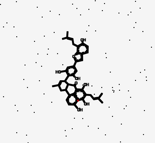 CC(C)=CCc1c(O)ccc(C(=O)C2C(c3c(O)cc(-c4cc5ccc(O)c(CC=C(C)C)c5o4)cc3O)C=C(C)CC2c2ccc(O)cc2O)c1O